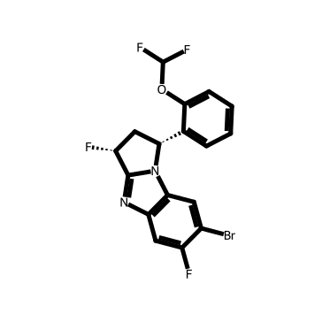 Fc1cc2nc3n(c2cc1Br)[C@@H](c1ccccc1OC(F)F)C[C@H]3F